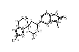 C[C@H]1C[C@@]2(C[C@@H](c3ccc4oc(=O)n(C)c4c3)N1)OCCc1cc(Cl)sc12